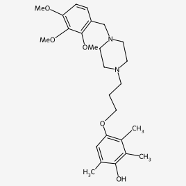 COc1ccc(CN2CCN(CCCOc3cc(C)c(O)c(C)c3C)CC2)c(OC)c1OC